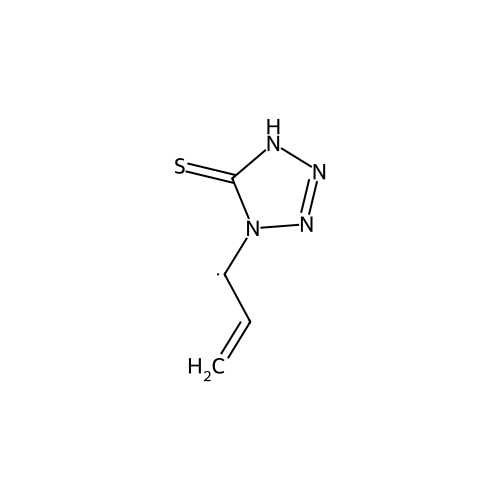 C=C[CH]n1nn[nH]c1=S